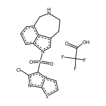 O=C(O)C(F)(F)F.O=S(=O)(c1c(Cl)nc2sccn12)n1cc2c3c(cccc31)CNCC2